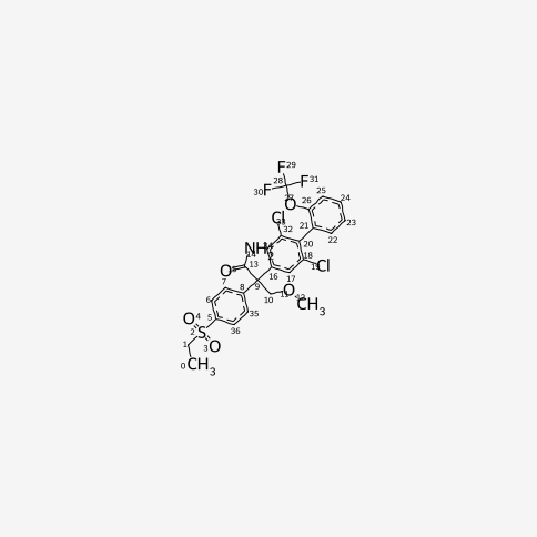 CCS(=O)(=O)c1ccc(C(COC)(C(N)=O)c2cc(Cl)c(-c3ccccc3OC(F)(F)F)c(Cl)c2)cc1